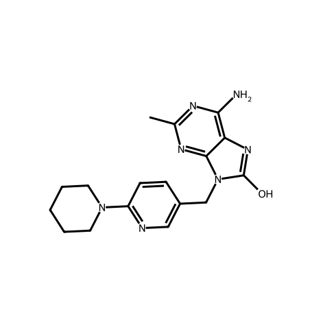 Cc1nc(N)c2nc(O)n(Cc3ccc(N4CCCCC4)nc3)c2n1